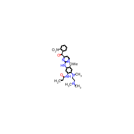 C=CC(=O)Nc1cc(Nc2nccc(C(=O)c3ccccc3[N+](=O)[O-])n2)c(OC)cc1N(C)CCN(C)C